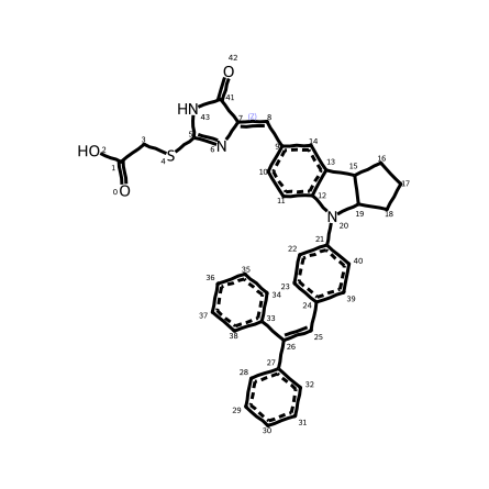 O=C(O)CSC1=N/C(=C\c2ccc3c(c2)C2CCCC2N3c2ccc(C=C(c3ccccc3)c3ccccc3)cc2)C(=O)N1